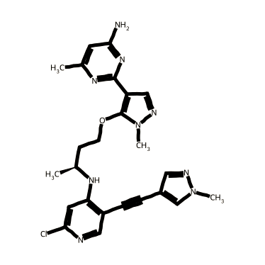 Cc1cc(N)nc(-c2cnn(C)c2OCC[C@H](C)Nc2cc(Cl)ncc2C#Cc2cnn(C)c2)n1